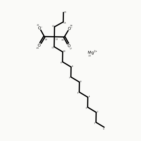 CCCCCCCCCCCCC(CCC)(C(=O)[O-])C(=O)[O-].[Mg+2]